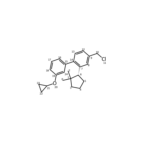 CC1(C)CCC[C@H]1c1cc(CCl)ccc1-c1cccc(OC2CC2)c1